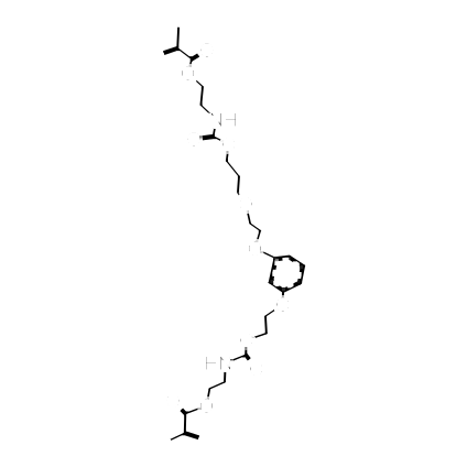 C=C(C)C(=O)OCCNC(=O)OCCCOCCOc1cccc(OCCOC(=O)NCCOC(=O)C(=C)C)c1